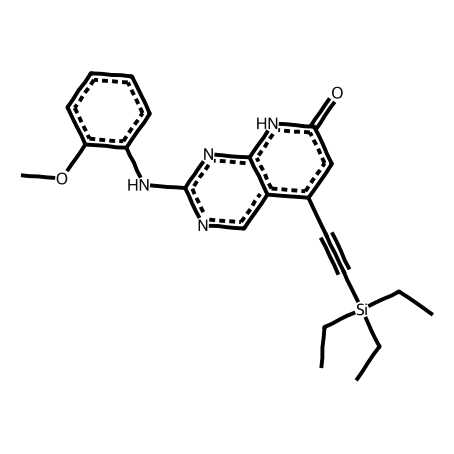 CC[Si](C#Cc1cc(=O)[nH]c2nc(Nc3ccccc3OC)ncc12)(CC)CC